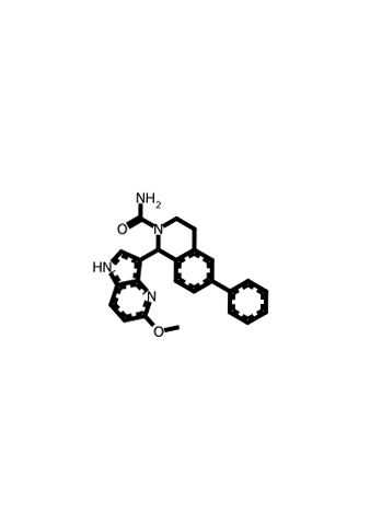 COc1ccc2[nH]cc(C3c4ccc(-c5ccccc5)cc4CCN3C(N)=O)c2n1